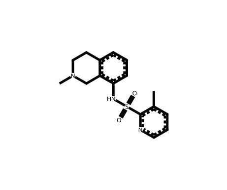 Cc1cccnc1S(=O)(=O)Nc1cccc2c1CN(C)CC2